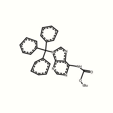 CC(C)(C)OC(=O)Nc1ncnc2c1ncn2C(c1ccccc1)(c1ccccc1)c1ccccc1